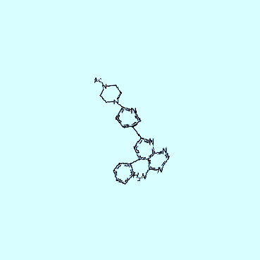 CC(=O)N1CCN(c2ccc(-c3cc(-c4ccccc4)c4c(N)ncnc4n3)cn2)CC1